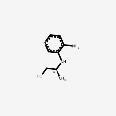 C[C@@H](CO)Nc1cnccc1N